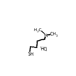 CN(C)CCCCS.Cl